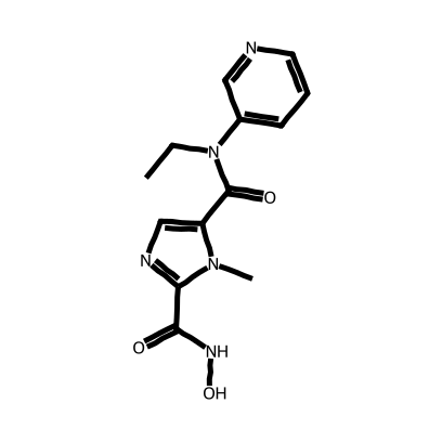 CCN(C(=O)c1cnc(C(=O)NO)n1C)c1cccnc1